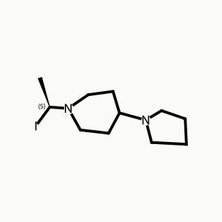 C[C@H](I)N1CCC(N2CCCC2)CC1